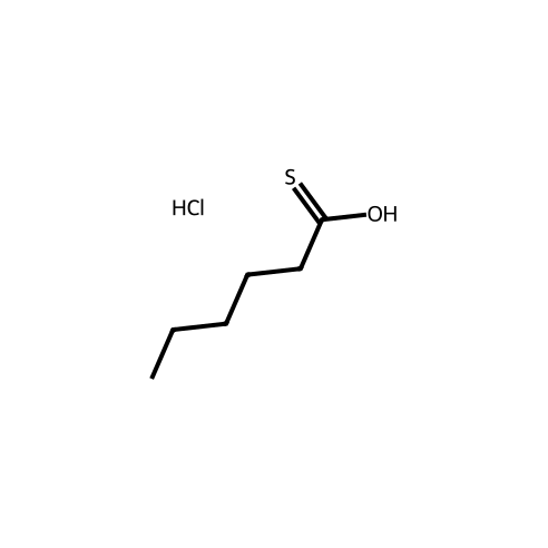 CCCCCC(O)=S.Cl